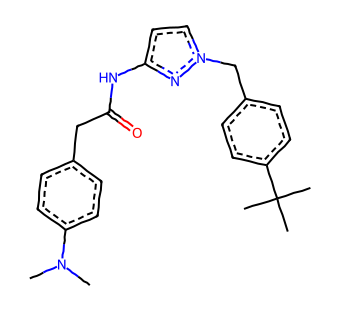 CN(C)c1ccc(CC(=O)Nc2ccn(Cc3ccc(C(C)(C)C)cc3)n2)cc1